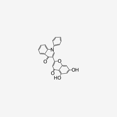 O=c1c(-c2cc(=O)c3c(O)cc(O)cc3o2)cn(-c2ccccc2)c2ccccc12